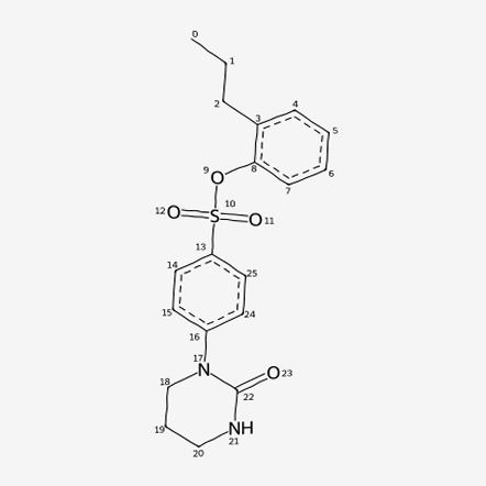 CCCc1ccccc1OS(=O)(=O)c1ccc(N2CCCNC2=O)cc1